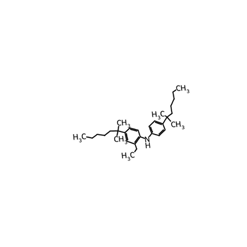 CCCCCC(C)(C)c1ccc(Nc2ccc(C(C)(C)CCCCC)cc2CC)cc1